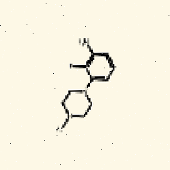 CC(=O)N1CCN(c2cccc(N)c2F)CC1